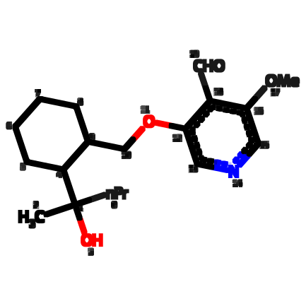 CCCC(C)(O)C1CCCCC1COc1cncc(OC)c1C=O